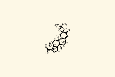 CC1(C)OC2(C[C@@]3(C)C(=CC2=O)CC[C@H]2[C@@H]4CC[C@@H](C(=O)O)[C@@]4(C)CC[C@@H]23)O1